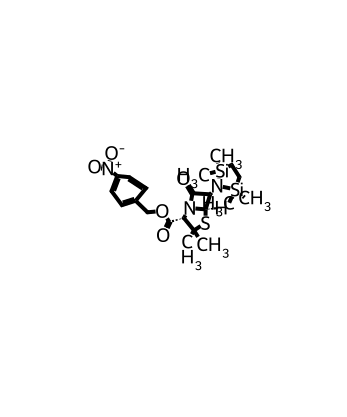 CC1(C)S[C@@H]2C(N3[Si](C)(C)CC[Si]3(C)C)C(=O)N2[C@H]1C(=O)OCc1ccc([N+](=O)[O-])cc1